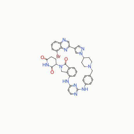 O=C1CCC(N2Cc3c(Nc4ccnc(Nc5ccc(CN6CCC(n7cc(-c8cnc9cccc(Br)c9n8)cn7)CC6)cc5)n4)cccc3C2=O)C(=O)N1